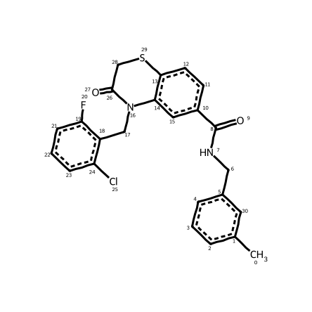 Cc1cccc(CNC(=O)c2ccc3c(c2)N(Cc2c(F)cccc2Cl)C(=O)CS3)c1